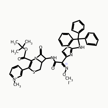 CO/N=C(\C(=O)NC1C(=O)N2C(C(=O)OC(C)(C)C)=C(c3ccc[n+](C)c3)SCC12)c1csc(NC(c2ccccc2)(c2ccccc2)c2ccccc2)n1.[I-]